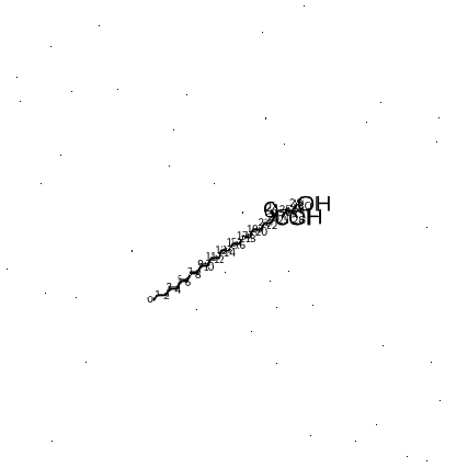 CCCCCCCCCCCCCCCCCCCCCCCC(=O)OCC(O)CO